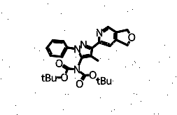 Cc1c(-c2cc3c(cn2)COC3)nn(-c2ccccc2)c1N(C(=O)OC(C)(C)C)C(=O)OC(C)(C)C